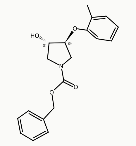 Cc1ccccc1O[C@H]1CN(C(=O)OCc2ccccc2)C[C@@H]1O